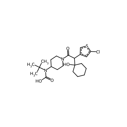 CC(C)(C)N(C(=O)O)C1CCN(C(=O)C(c2csc(Cl)c2)C2(O)CCCCC2)CC1